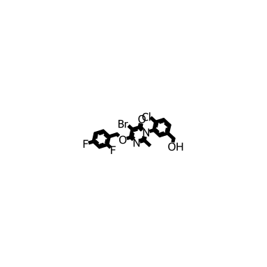 Cc1nc(OCc2ccc(F)cc2F)c(Br)c(=O)n1-c1cc(CO)ccc1Cl